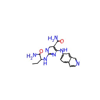 CCC(Nc1ncc(C(N)=O)c(Nc2ccc3ccncc3c2)n1)C(N)=O